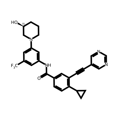 O=C(Nc1cc(N2CCC[C@H](O)C2)cc(C(F)(F)F)c1)c1ccc(C2CC2)c(C#Cc2cncnc2)c1